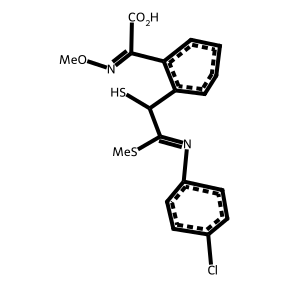 CON=C(C(=O)O)c1ccccc1C(S)C(=Nc1ccc(Cl)cc1)SC